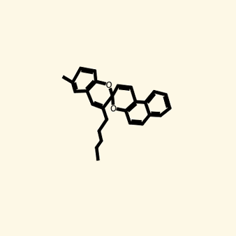 CCCCCC1=Cc2cc(C)ccc2OC12C=Cc1c(ccc3ccccc13)O2